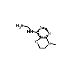 BCNc1ncnc2c1OCCN2C